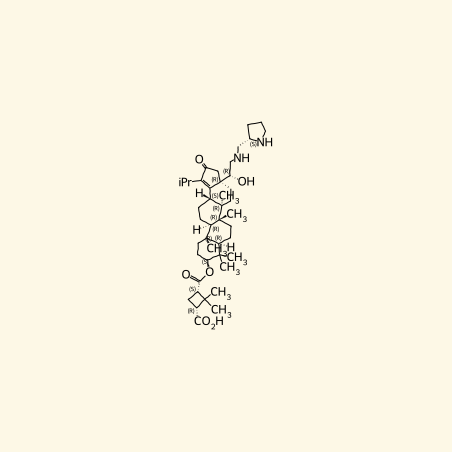 CC(C)C1=C2[C@H]3CC[C@@H]4[C@@]5(C)CC[C@H](OC(=O)[C@H]6C[C@@H](C(=O)O)C6(C)C)C(C)(C)[C@@H]5CC[C@@]4(C)[C@]3(C)CC[C@@]2([C@@H](O)CNC[C@@H]2CCCN2)CC1=O